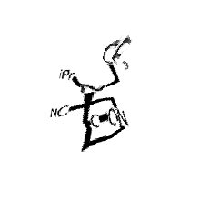 CC(C)N(CC(F)(F)F)C1(C#N)CN2CCC1CC2